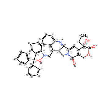 CC[C@@]1(O)C(=O)OCc2c1cc1n(c2=O)Cc2c-1nc1ccccc1c2C=NOC(c1ccccc1)(c1ccccc1)c1ccccc1